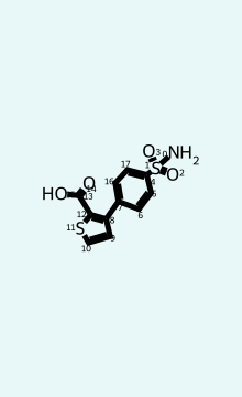 NS(=O)(=O)c1ccc(-c2ccsc2C(=O)O)cc1